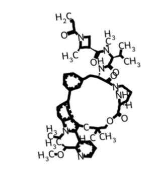 C=CC(=O)N1C[C@@H](C(=O)N(C)[C@H](C(=O)N[C@H]2Cc3cccc(c3)-c3ccc4c(c3)c(c(-c3cccnc3[C@H](C)OC)n4CC)CC(C)(C)COC(=O)[C@@H]3CCCN(N3)C2=O)C(C)C)[C@H]1C